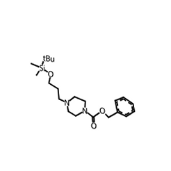 CC(C)(C)[Si](C)(C)OCCCN1CCN(C(=O)OCc2ccccc2)CC1